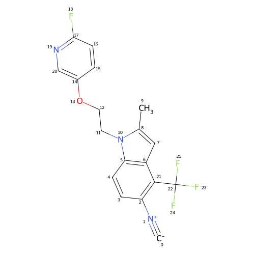 [C-]#[N+]c1ccc2c(cc(C)n2CCOc2ccc(F)nc2)c1C(F)(F)F